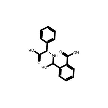 O=C(O)c1ccccc1C(O)N[C@H](C(=O)O)c1ccccc1